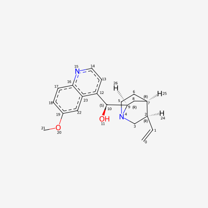 C=C[C@H]1CN2CC[C@@H]1C[C@@H]2[C@@H](O)c1ccnc2ccc(OC)cc12